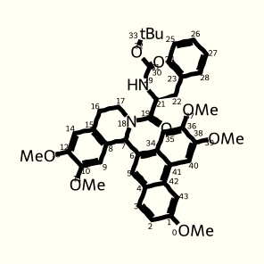 COc1ccc2cc(C3c4cc(OC)c(OC)cc4CCN3C(=O)[C@H](Cc3ccccc3)NC(=O)OC(C)(C)C)c3cc(OC)c(OC)cc3c2c1